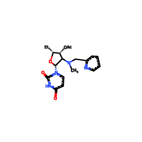 CC[C@H]1O[C@@H](n2ccc(=O)[nH]c2=O)C(N(C)Cc2ccccn2)[C@H]1OC(C)=O